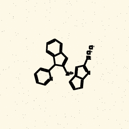 CCC1=NC2=CC=CC2=C1.[Cl-].[Cl-].[Zr+2][C]1=Cc2ccccc2C1c1ccccn1